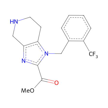 COC(=O)c1nc2c(n1Cc1ccccc1C(F)(F)F)CCNC2